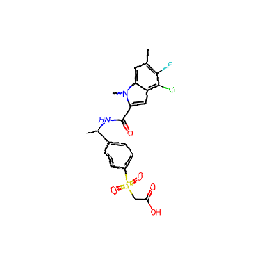 Cc1cc2c(cc(C(=O)NC(C)c3ccc(S(=O)(=O)CC(=O)O)cc3)n2C)c(Cl)c1F